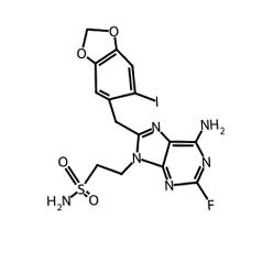 Nc1nc(F)nc2c1nc(Cc1cc3c(cc1I)OCO3)n2CCS(N)(=O)=O